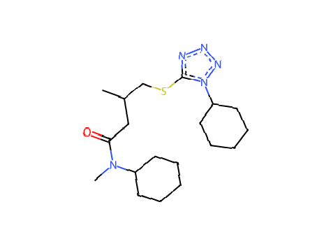 CC(CSc1nnnn1C1CCCCC1)CC(=O)N(C)C1CCCCC1